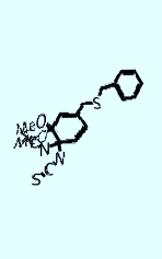 COC1(OC)C=C(CSCc2ccccc2)C=CC1(N=C=S)N=C=S